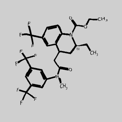 CCOC(=O)N1c2ccc(C(F)(F)F)cc2C(CC(=O)N(C)c2cc(C(F)(F)F)cc(C(F)(F)F)c2)C[C@@H]1CC